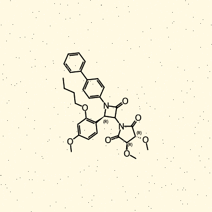 CCCCOc1cc(OC)ccc1[C@@H]1C(N2C(=O)[C@H](OC)[C@@H](OC)C2=O)C(=O)N1c1ccc(-c2ccccc2)cc1